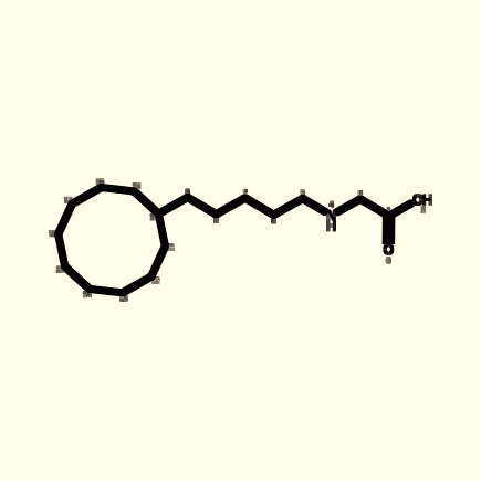 O=C(O)CNCCCCCC1CCCCCCCCC1